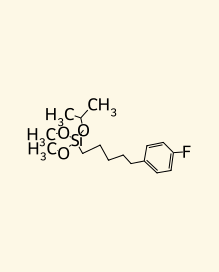 CO[Si](CCCCCc1ccc(F)cc1)(OC)OC(C)C